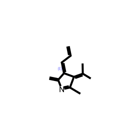 C=C/C=C1/C(=C)N=C(C)C1=C(C)C